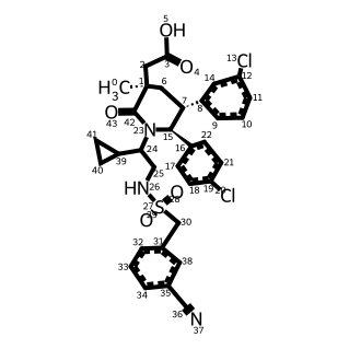 C[C@]1(CC(=O)O)C[C@H](c2cccc(Cl)c2)[C@@H](c2ccc(Cl)cc2)N(C(CNS(=O)(=O)Cc2cccc(C#N)c2)C2CC2)C1=O